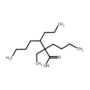 CCCCC(CCC)C(CC)(CCCC)C(=O)O